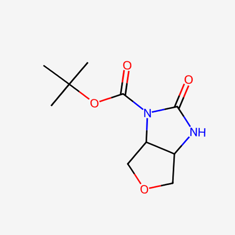 CC(C)(C)OC(=O)N1C(=O)NC2COCC21